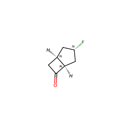 O=C1C[C@H]2C[C@H](F)C[C@@H]12